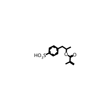 C=C(C)C(=O)OC(C)Cc1ccc(S(=O)(=O)O)cc1